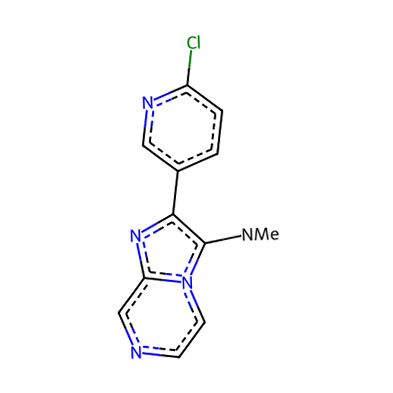 CNc1c(-c2ccc(Cl)nc2)nc2cnccn12